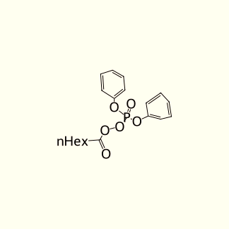 CCCCCCC(=O)OOP(=O)(Oc1ccccc1)Oc1ccccc1